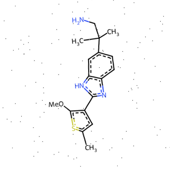 COc1sc(C)cc1-c1nc2ccc(C(C)(C)CN)cc2[nH]1